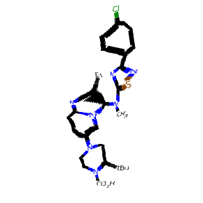 CCc1nc2ccc(N3CCN(C(=O)O)C(C(C)(C)C)C3)cn2c1N(C)c1nc(-c2ccc(Cl)cc2)ns1